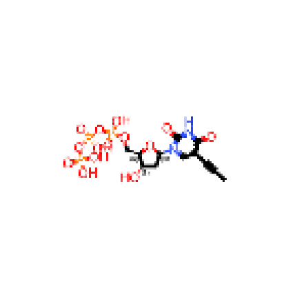 CC#Cc1cn([C@H]2C[C@H](O)[C@@H](COP(=O)(O)OP(=O)(O)OP(=O)(O)O)O2)c(=O)[nH]c1=O